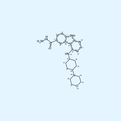 NNC(=O)c1ccc2[nH]c3ncnc(NC4CCC(N5CCOCC5)CC4)c3c2c1